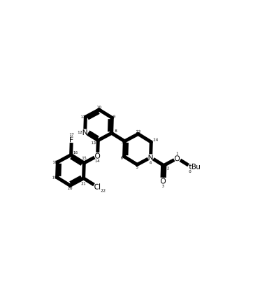 CC(C)(C)OC(=O)N1CC=C(c2cccnc2Oc2c(F)cccc2Cl)CC1